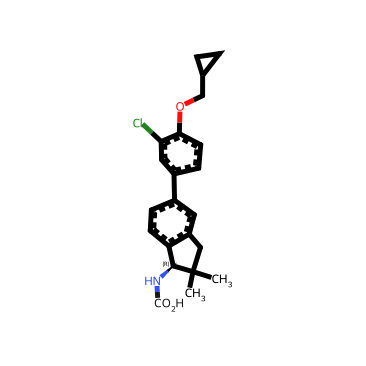 CC1(C)Cc2cc(-c3ccc(OCC4CC4)c(Cl)c3)ccc2[C@@H]1NC(=O)O